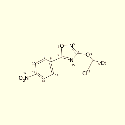 CCC(Cl)Oc1noc(-c2ccc([N+](=O)[O-])cc2)n1